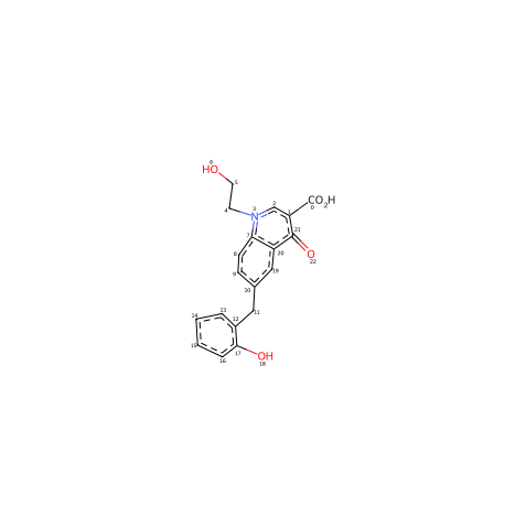 O=C(O)c1cn(CCO)c2ccc(Cc3ccccc3O)cc2c1=O